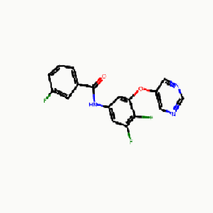 O=C(Nc1cc(F)c(F)c(Oc2cncnc2)c1)c1cccc(F)c1